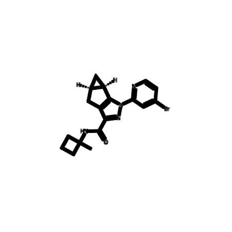 CC1(NC(=O)c2nn(-c3cc(Br)ccn3)c3c2C[C@H]2C[C@@H]32)CCC1